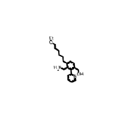 CCOCCCCCCc1ccc(CO)c(-c2ccccn2)c1CN